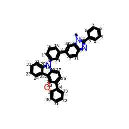 Cn1c(-c2ccccc2)nc2ccc(-c3cccc(-n4c5ccccc5c5c6oc7ccccc7c6ccc54)c3)cc21